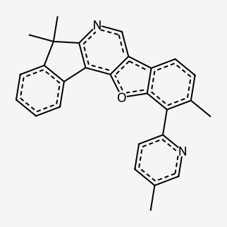 Cc1ccc(-c2c(C)ccc3c2oc2c4c(ncc23)C(C)(C)c2ccccc2-4)nc1